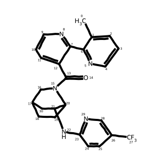 Cc1cccnc1-c1ncccc1C(=O)N1CC2CCC1C(Nc1ccc(C(F)(F)F)cn1)C2